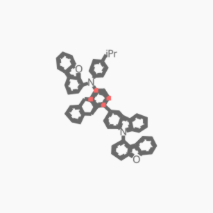 CC(C)c1ccc(N(c2ccc(-c3ccc4c(c3)c3ccccc3n4-c3cccc4oc5ccccc5c34)c3c2C2c4ccccc4C3c3ccccc32)c2cccc3c2oc2ccccc23)cc1